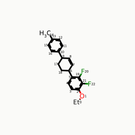 CCOc1ccc(C2C=CC(c3ccc(C)cc3)CC2)c(F)c1F